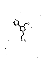 C=CCN1CC(C=O)C(c2ccsc2)C1